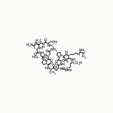 CSCC[C@H](NC(=O)[C@H](C)NC(=O)[C@@H]1CCCN1C(=O)[C@H](CC(N)=O)NC(=O)[C@H](CO)NC(=O)[C@H](CC(N)=O)NC(=O)[C@H](C)NC(=O)[C@@H](N)CO)C(=O)N[C@@H](C)C(=O)N1CCC[C@H]1C(=O)N[C@@H](CCCN=C(N)N)C(=O)N[C@@H](CCC(=O)O)C(=O)O